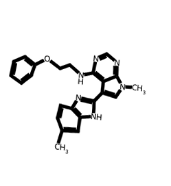 Cc1ccc2nc(-c3cn(C)c4ncnc(NCCOc5ccccc5)c34)[nH]c2c1